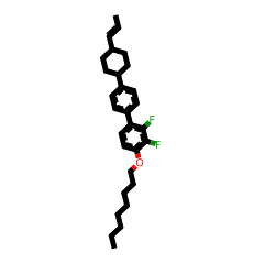 C/C=C/C1CCC(c2ccc(-c3ccc(OCCCCCCCC)c(F)c3F)cc2)CC1